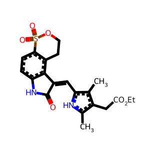 CCOC(=O)Cc1c(C)[nH]c(/C=C2\C(=O)Nc3ccc4c(c32)CCOS4(=O)=O)c1C